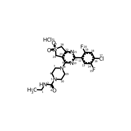 CCNC(=O)N1CCN(c2nc(-c3cc(F)c(Cl)cc3F)nc3c2CS(=O)(=O)C3)CC1.Cl